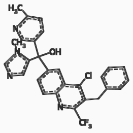 Cc1ccc(C(O)(c2ccc3nc(C(F)(F)F)c(Cc4ccccc4)c(Cl)c3c2)c2cncn2C)cn1